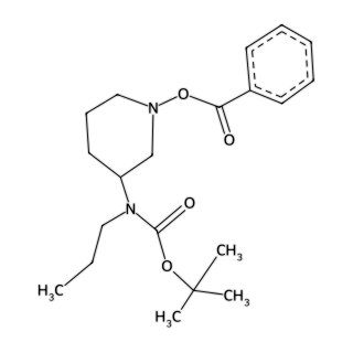 CCCN(C(=O)OC(C)(C)C)C1CCCN(OC(=O)c2ccccc2)C1